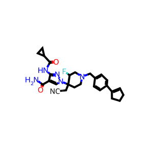 N#CCC1(n2cc(C(N)=O)c(NC(=O)C3CC3)n2)CCN(Cc2ccc(C3=CCCC3)cc2)CC1F